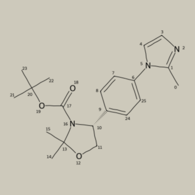 Cc1nccn1-c1ccc([C@@H]2COC(C)(C)N2C(=O)OC(C)(C)C)cc1